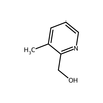 Cc1c[c]cnc1CO